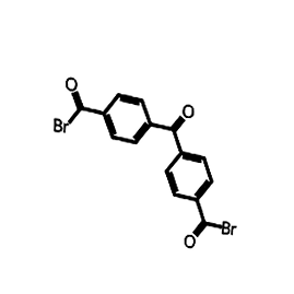 O=C(Br)c1ccc(C(=O)c2ccc(C(=O)Br)cc2)cc1